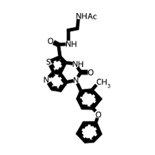 CC(=O)NCCNC(=O)c1sc2nccc3c2c1NC(=O)N3c1ccc(Oc2ccccc2)cc1C